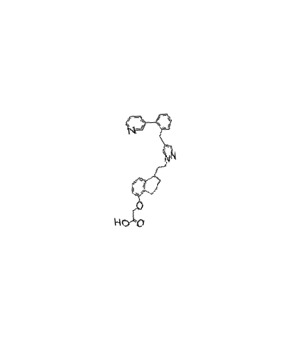 O=C(O)COc1cccc2c1CCCC2CCn1cc(Cc2ccccc2-c2cccnc2)cn1